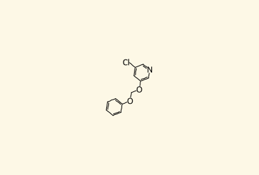 Clc1cncc(OCOc2ccccc2)c1